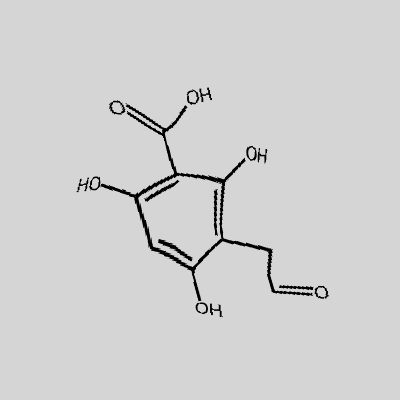 O=CCc1c(O)cc(O)c(C(=O)O)c1O